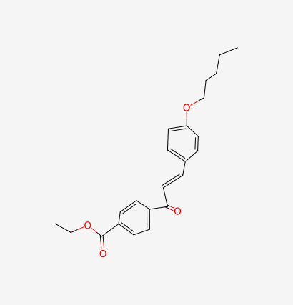 CCCCCOc1ccc(/C=C/C(=O)c2ccc(C(=O)OCC)cc2)cc1